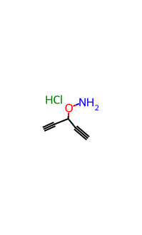 C#CC(C#C)ON.Cl